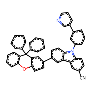 N#Cc1ccc2c(c1)c1cc(-c3ccc4c(c3)C(c3ccccc3)(c3ccccc3)c3ccccc3O4)ccc1n2-c1cccc(-c2cccnc2)c1